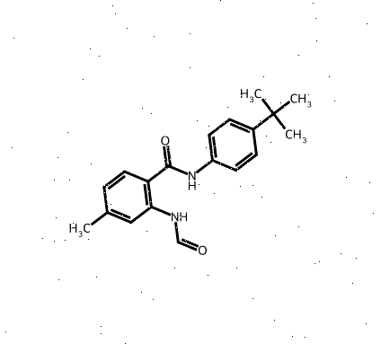 Cc1ccc(C(=O)Nc2ccc(C(C)(C)C)cc2)c(NC=O)c1